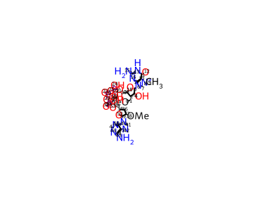 COC[C@H]1[C@@H](O)[C@H](n2c[n+](C)c3c(=O)[nH]c(N)nc32)O[C@@H]1COP(=O)(O)OP(=O)(O)OP(=O)(O)OC[C@@H]1C[C@@H](OC)[C@H](n2cnc3c(N)ncnc32)O1